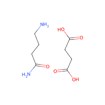 NCCCC(N)=O.O=C(O)CCC(=O)O